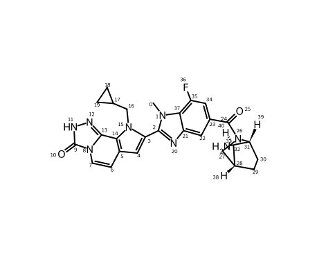 Cn1c(-c2cc3ccn4c(=O)[nH]nc4c3n2CC2CC2)nc2cc(C(=O)N3C[C@H]4CC[C@@H]3[C@@H]4N)cc(F)c21